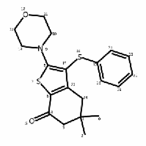 CC1(C)CC(=O)c2sc(N3CCOCC3)c(Sc3ccccc3)c2C1